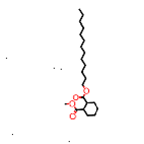 CCCCCCCCCCCCCOC(=O)C1CCCCC1C(=O)OC